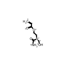 C=CC(=O)OCCN(CO)C(N)=O